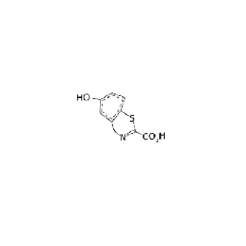 O=C(O)C1=NCc2cc(O)ccc2S1